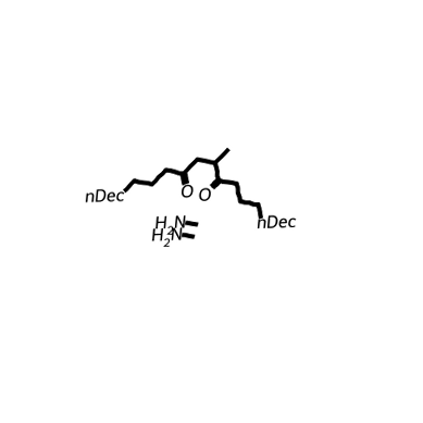 CCCCCCCCCCCCCC(=O)CC(C)C(=O)CCCCCCCCCCCCC.CN.CN